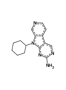 Nc1ncc2c3ccncc3n(C3CCCCC3)c2n1